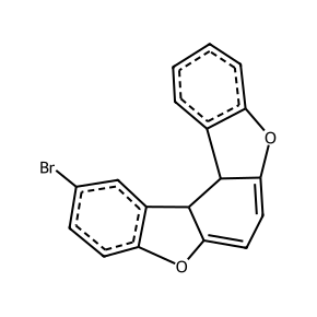 Brc1ccc2c(c1)C1C(=CC=C3Oc4ccccc4C31)O2